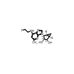 Cc1cc(NCCF)c2ncn([C@H]3[C@H](O)[C@H](O)[C@@H]4C[C@@H]43)c2n1